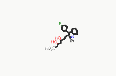 CC(C)c1nc2ccccc2c(-c2ccc(F)cc2)c1C=CC(O)CC(O)CC(=O)O